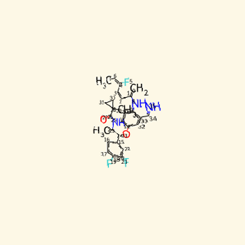 C=C(/C=C\C(F)=C/C)Nc1ccc(O[C@H](c2ccc(F)c(F)c2)[C@H](C)NC(=O)C2(C)CC2)cc1C=N